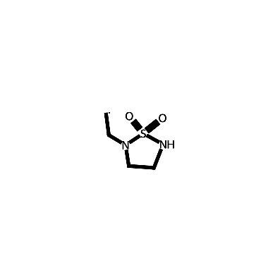 [CH2]CN1CCNS1(=O)=O